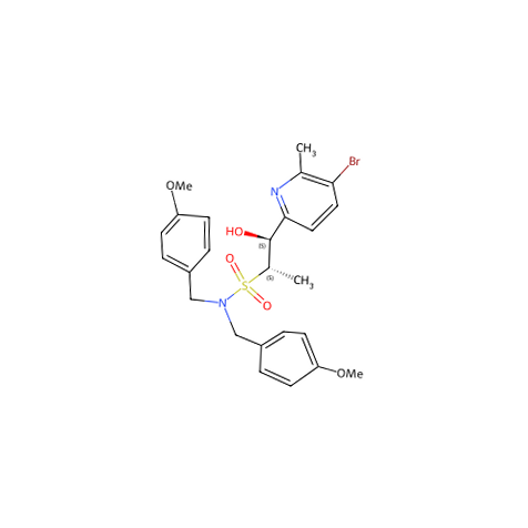 COc1ccc(CN(Cc2ccc(OC)cc2)S(=O)(=O)[C@@H](C)[C@@H](O)c2ccc(Br)c(C)n2)cc1